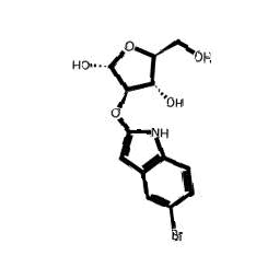 OC[C@@H]1O[C@@H](O)[C@H](Oc2cc3cc(Br)ccc3[nH]2)[C@H]1O